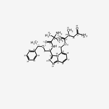 C[C@H](OCC(NC(=O)C(C)(C)N)c1nnc2cccc(COC(=O)N(C)CC(N)=O)n12)c1ccccc1